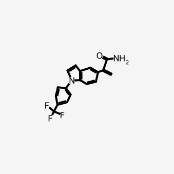 C=C(C(N)=O)c1ccc2c(ccn2-c2ccc(C(F)(F)F)cc2)c1